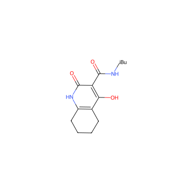 CCC(C)NC(=O)c1c(O)c2c([nH]c1=O)CCCC2